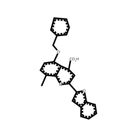 Cc1ccc(OCc2ccccc2)c2c(C(=O)O)cc(-c3cc4ccccc4o3)nc12